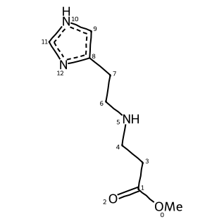 COC(=O)CCNCCc1c[nH]cn1